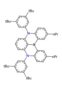 CCCc1ccc2c(c1)B1c3cc(CCC)ccc3N(c3cc(C(C)(C)C)cc(C(C)(C)C)c3)c3cccc(c31)N2c1cc(C(C)(C)C)cc(C(C)(C)C)c1